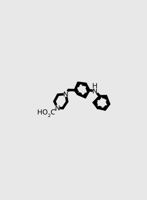 O=C(O)N1CCN(Cc2ccc(Nc3ccccc3)cc2)CC1